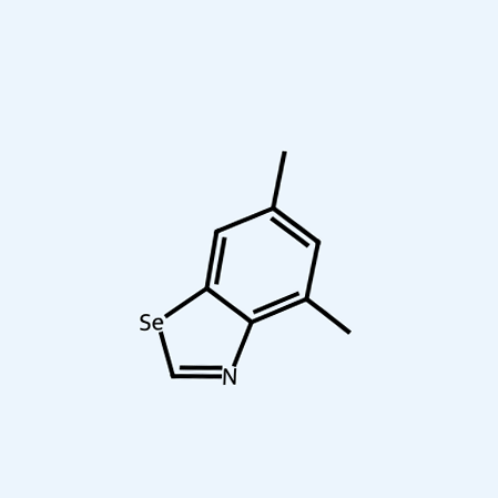 Cc1cc(C)c2nc[se]c2c1